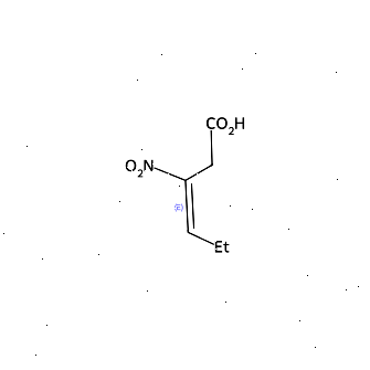 CC/C=C(\CC(=O)O)[N+](=O)[O-]